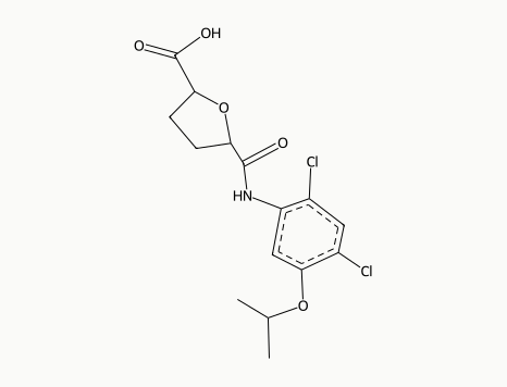 CC(C)Oc1cc(NC(=O)C2CCC(C(=O)O)O2)c(Cl)cc1Cl